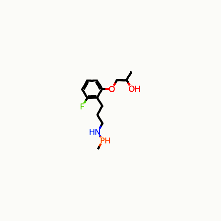 CPNCCCc1c(F)cccc1OCC(C)O